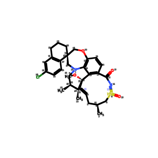 CO[C@@]12/C=C/C[C@H](C)C/[SH](=O)=N\C(=O)c3ccc4c(c31)N(C[C@H](C)[C@H]2C)C[C@@]1(CCCc2cc(Cl)ccc21)CO4